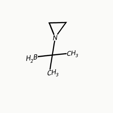 BC(C)(C)N1CC1